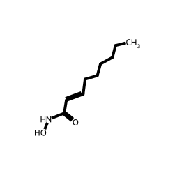 CCCCCC/C=C/C(=O)NO